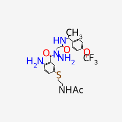 CC(=O)NCCSc1ccc(N)c(C(=O)N(N)CC(=O)N[C@@H](C)c2ccc(OC(F)(F)F)cc2)c1